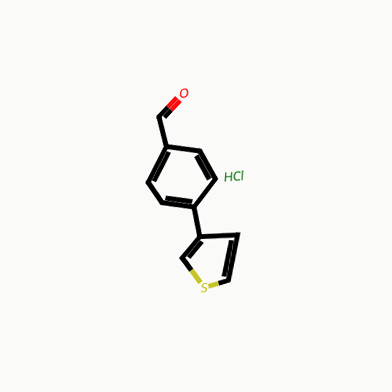 Cl.O=Cc1ccc(-c2ccsc2)cc1